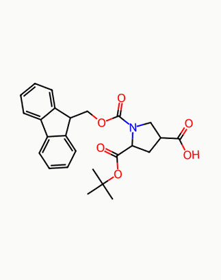 CC(C)(C)OC(=O)C1CC(C(=O)O)CN1C(=O)OCC1c2ccccc2-c2ccccc21